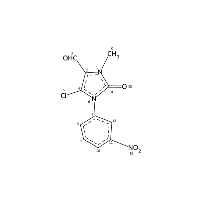 Cn1c(C=O)c(Cl)n(-c2cccc([N+](=O)[O-])c2)c1=O